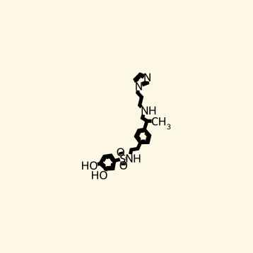 CC(CNCCCn1ccnc1)c1ccc(CCNS(=O)(=O)c2ccc(O)c(O)c2)cc1